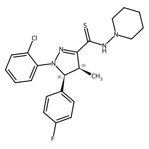 C[C@@H]1C(C(=S)NN2CCCCC2)=NN(c2ccccc2Cl)[C@@H]1c1ccc(F)cc1